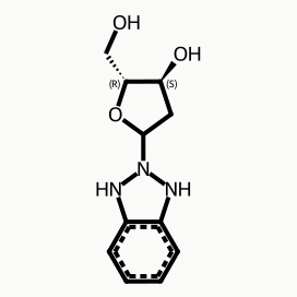 OC[C@H]1OC(N2Nc3ccccc3N2)C[C@@H]1O